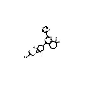 O=C(O)C[C@@H]1[C@H]2CN(c3nc(-c4cnco4)nc4c3CCCC4(F)F)C[C@@H]12